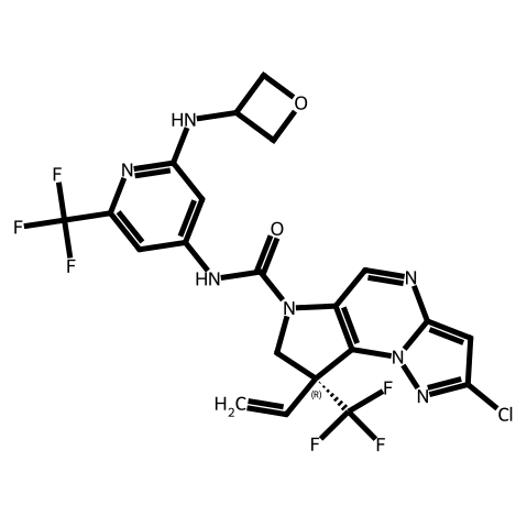 C=C[C@@]1(C(F)(F)F)CN(C(=O)Nc2cc(NC3COC3)nc(C(F)(F)F)c2)c2cnc3cc(Cl)nn3c21